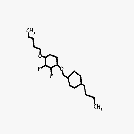 CCCCCOC1CCC(OCC2CCC(CCCC)CC2)C(F)C1F